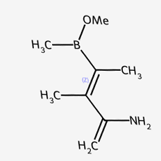 C=C(N)/C(C)=C(\C)B(C)OC